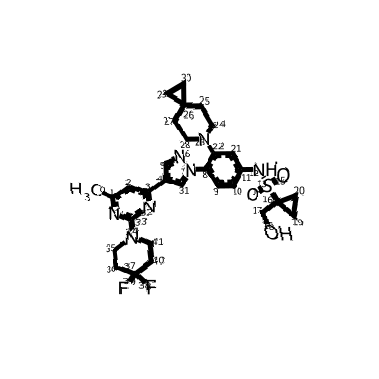 Cc1cc(-c2cnn(-c3ccc(NS(=O)(=O)C4(CO)CC4)cc3N3CCC4(CC3)CC4)c2)nc(N2CCC(F)(F)CC2)n1